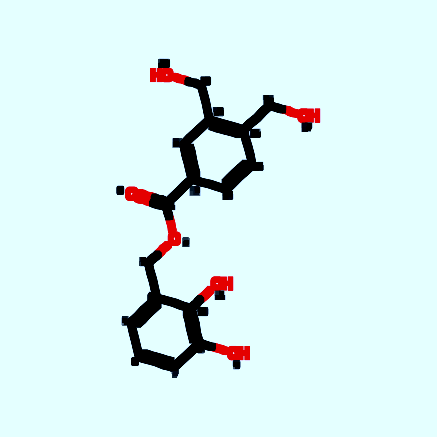 O=C(OCc1cccc(O)c1O)c1ccc(CO)c(CO)c1